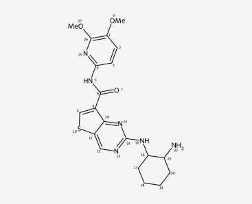 COc1ccc(NC(=O)c2csc3cnc(NC4CCCCC4N)nc23)nc1OC